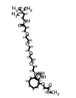 CNC(=O)COC1CCCCCC2=C1NNN2CCOCCOCCOCCOCCC(=O)NCC[N+](C)(C)C